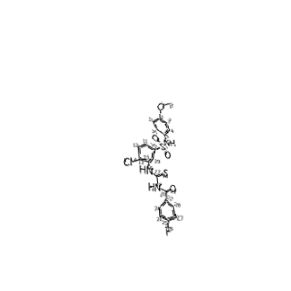 COc1ccc(NS(=O)(=O)c2ccc(Cl)c(NC(=S)NC(=O)c3ccc(F)cc3)c2)cc1